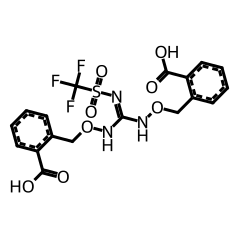 O=C(O)c1ccccc1CONC(=NS(=O)(=O)C(F)(F)F)NOCc1ccccc1C(=O)O